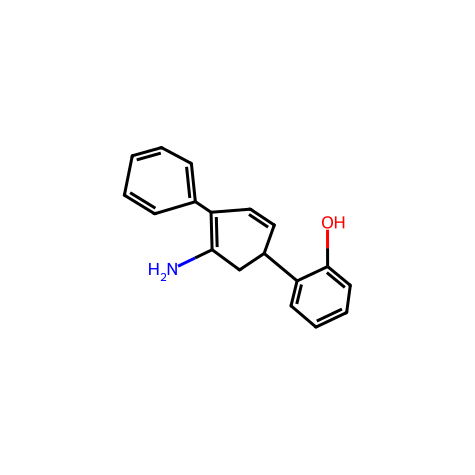 NC1=C(c2ccccc2)C=CC(c2ccccc2O)C1